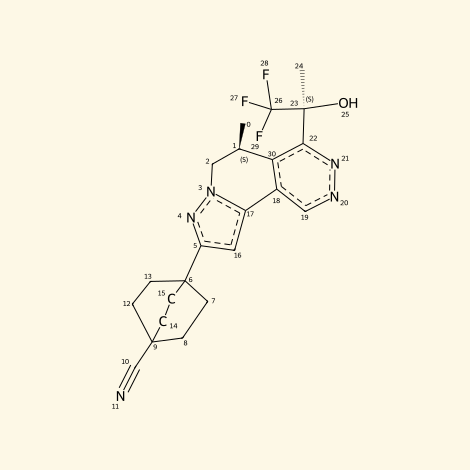 C[C@@H]1Cn2nc(C34CCC(C#N)(CC3)CC4)cc2-c2cnnc([C@](C)(O)C(F)(F)F)c21